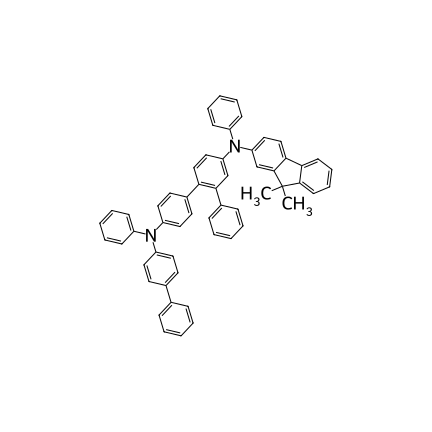 CC1(C)c2ccccc2-c2ccc(N(c3ccccc3)c3ccc(-c4ccc(N(c5ccccc5)c5ccc(-c6ccccc6)cc5)cc4)c(-c4ccccc4)c3)cc21